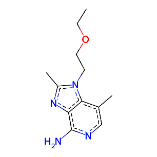 CCOCCn1c(C)nc2c(N)ncc(C)c21